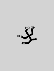 CC(CO)C(CO)(CO)CO